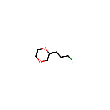 ClCCCC1COCCO1